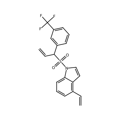 C=Cc1cccc2c1ccn2S(=O)(=O)C(C=C)c1cccc(C(F)(F)F)c1